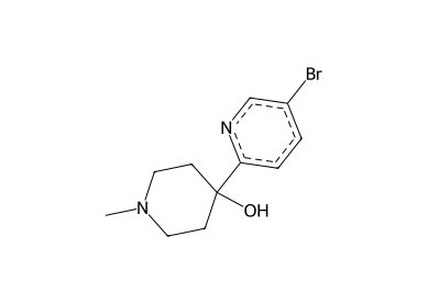 CN1CCC(O)(c2ccc(Br)cn2)CC1